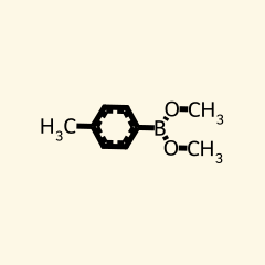 COB(OC)c1ccc(C)cc1